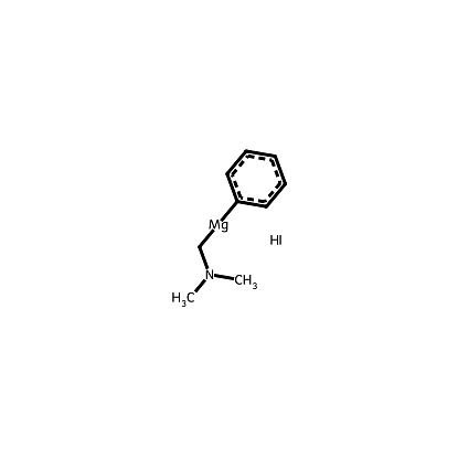 CN(C)[CH2][Mg][c]1ccccc1.I